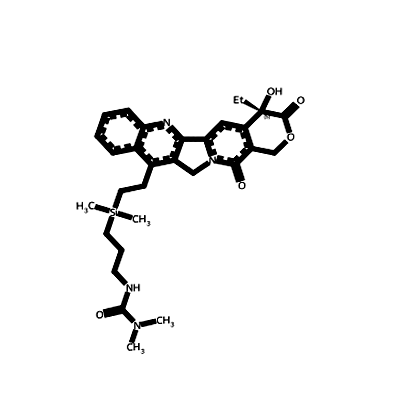 CC[C@@]1(O)C(=O)OCc2c1cc1n(c2=O)Cc2c-1nc1ccccc1c2CC[Si](C)(C)CCCNC(=O)N(C)C